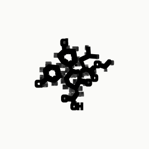 CCOC(=O)[C@H](CC(C)C)N1C(=O)[C@@H](CC(=O)O)C[C@H](c2cccc(Cl)c2)[C@H]1c1ccc(Cl)cc1